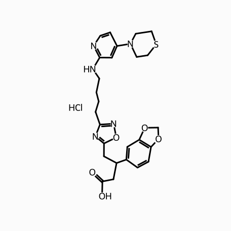 Cl.O=C(O)CC(Cc1nc(CCCCNc2cc(N3CCSCC3)ccn2)no1)c1ccc2c(c1)OCO2